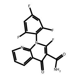 NC(=O)c1c(F)n(-c2c(F)cc(F)cc2F)c2ncccc2c1=O